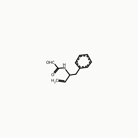 C=CC(Cc1ccccc1)NC(=O)C=O